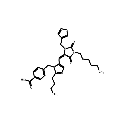 CCCCCCN1C(=O)/C(=C\c2cnc(CCCC)n2Cc2ccc(C(=O)O)cc2)N(Cc2ccsc2)C1=O